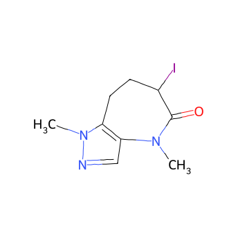 CN1C(=O)C(I)CCc2c1cnn2C